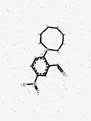 O=Cc1cc([N+](=O)[O-])ccc1N1CCCCCCC1